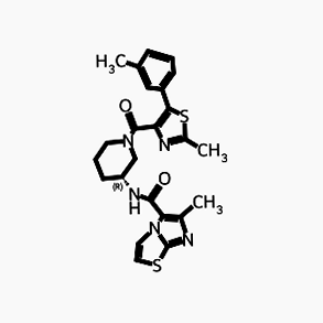 Cc1cccc(-c2sc(C)nc2C(=O)N2CCC[C@@H](NC(=O)c3c(C)nc4sccn34)C2)c1